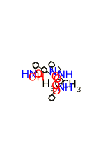 CC(C)(CC(=O)NC1CCc2ccccc2N(Cc2ccc(-c3ccccc3C(=O)NO)cc2)C1=O)NC(=O)OCc1ccccc1